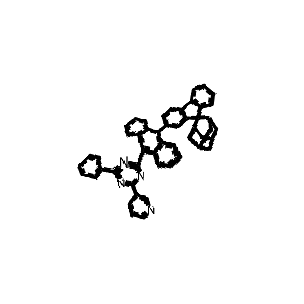 c1ccc(-c2nc(-c3cccnc3)nc(-c3c4ccccc4c(-c4ccc5c(c4)C4(c6ccccc6-5)C5CC6CC(C5)CC4C6)c4ccccc34)n2)cc1